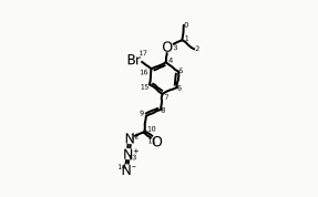 CC(C)Oc1ccc(C=CC(=O)N=[N+]=[N-])cc1Br